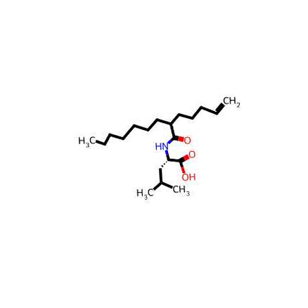 C=CCCCC(CCCCCCC)C(=O)N[C@@H](CC(C)C)C(=O)O